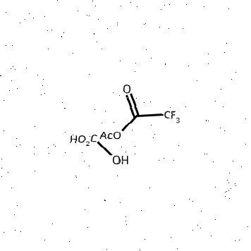 CC(=O)OC(=O)C(F)(F)F.O=C(O)O